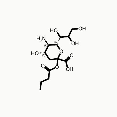 CCCC(=O)OC1(C(=O)O)C[C@H](O)[C@@H](N)[C@H](C(O)C(O)CO)O1